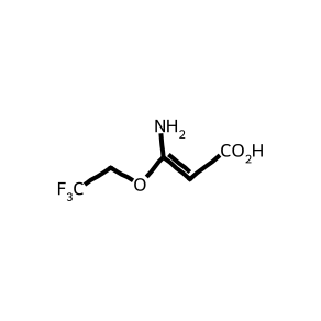 N/C(=C\C(=O)O)OCC(F)(F)F